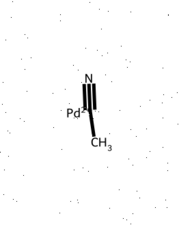 CC#N.[Pd+2]